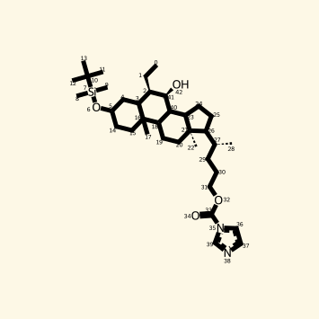 CC[C@@H]1C2CC(O[Si](C)(C)C(C)(C)C)CCC2(C)C2CC[C@@]3(C)C(CCC3[C@H](C)CCCOC(=O)n3ccnc3)C2[C@@H]1O